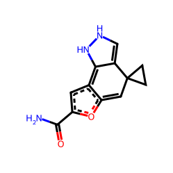 NC(=O)c1cc2c(o1)=CC1(CC1)C1=CNNC=21